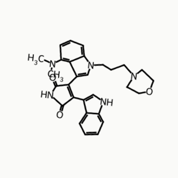 CN(C)c1cccc2c1c(C1=C(c3c[nH]c4ccccc34)C(=O)NC1=O)cn2CCCN1CCOCC1